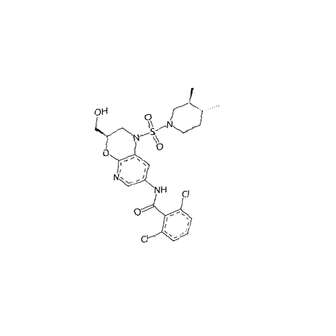 C[C@@H]1CCN(S(=O)(=O)N2C[C@H](CO)Oc3ncc(NC(=O)c4c(Cl)cccc4Cl)cc32)C[C@H]1C